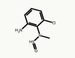 CN([SH]=O)c1c(N)cccc1Cl